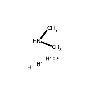 CNC.[B+3].[H-].[H-].[H-]